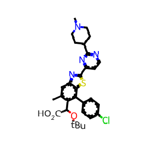 Cc1cc2nc(-c3ccnc(C4CCN(C)CC4)n3)sc2c(-c2ccc(Cl)cc2)c1C(OC(C)(C)C)C(=O)O